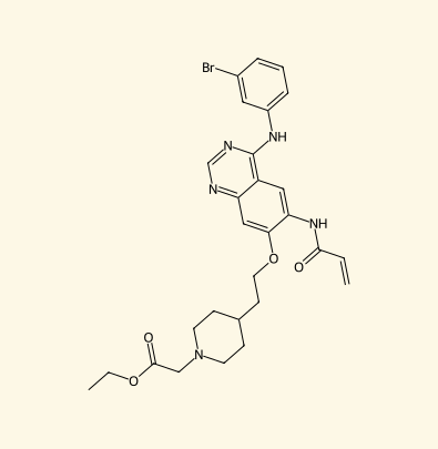 C=CC(=O)Nc1cc2c(Nc3cccc(Br)c3)ncnc2cc1OCCC1CCN(CC(=O)OCC)CC1